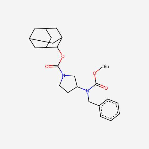 CC(C)(C)OC(=O)N(Cc1ccccc1)C1CCN(C(=O)OC2C3CC4CC(C3)CC2C4)C1